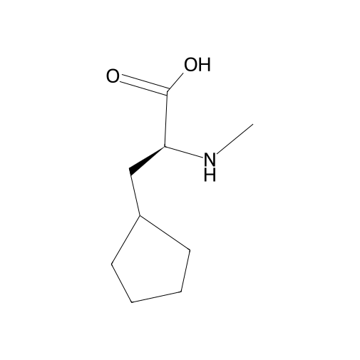 CN[C@@H](CC1CCCC1)C(=O)O